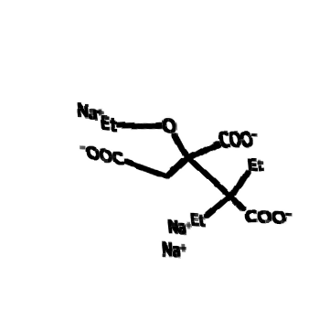 CCOC(CC(=O)[O-])(C(=O)[O-])C(CC)(CC)C(=O)[O-].[Na+].[Na+].[Na+]